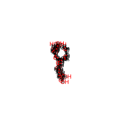 C=C1C[C@@H]2CC[C@]34OC([C@@H]5O[C@H]6CC[C@H](CC(=O)C[C@@H]7CC8OC9C[C@]%10(C[C@@H]%11O[C@@]%12(CC[C@@H]%11O%10)C[C@H](C)[C@@H]%10O[C@H](CC(=O)O)[C@H](O)C[C@@H]%10O%12)O[C@@H]9C[C@@H]8O[C@H]7C[C@H]7O[C@@H](CC[C@@H]1O2)C[C@@H](C)C7=C)O[C@@H]6[C@H](O3)[C@@H]5I)C(O)(O)[C@H]4O